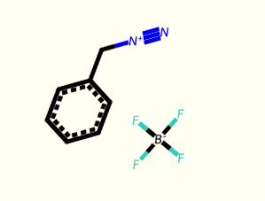 F[B-](F)(F)F.N#[N+]Cc1ccccc1